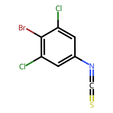 S=C=Nc1cc(Cl)c(Br)c(Cl)c1